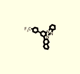 FC(F)(F)c1ccc(-c2cc3c4cc5ccccc5cc4n4c3c(c2)n2c3ccccc3nc24)cc1